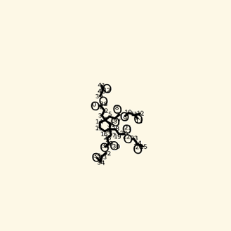 O=C(CCC1(CCC(=O)OCC2CO2)CCCC(CCC(=O)OCC2CO2)(CCC(=O)OCC2CO2)C1=O)OCC1CO1